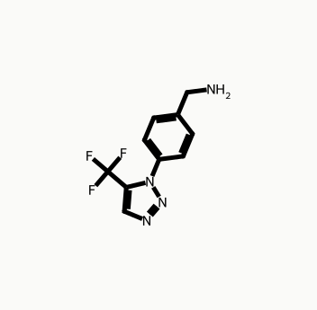 NCc1ccc(-n2nncc2C(F)(F)F)cc1